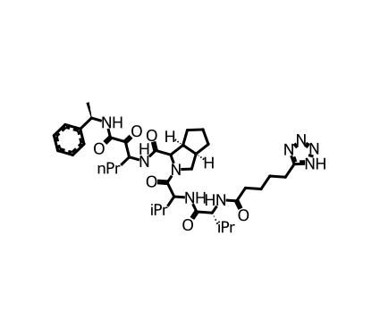 CCCC(NC(=O)C1[C@H]2CCC[C@H]2CN1C(=O)C(NC(=O)[C@H](NC(=O)CCCCc1nnn[nH]1)C(C)C)C(C)C)C(=O)C(=O)N[C@H](C)c1ccccc1